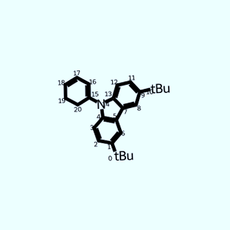 CC(C)(C)c1ccc2c(c1)c1cc(C(C)(C)C)ccc1n2C1=CC=CCC1